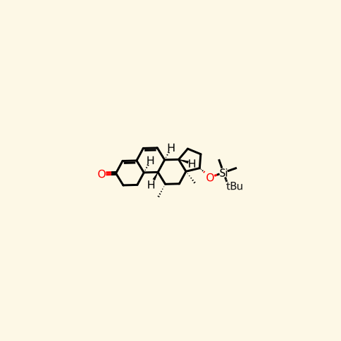 C[C@H]1C[C@]2(C)[C@@H](O[Si](C)(C)C(C)(C)C)CC[C@H]2[C@@H]2C=CC3=CC(=O)CC[C@@H]3[C@H]21